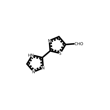 O=Cc1cnc(-c2nnc[nH]2)s1